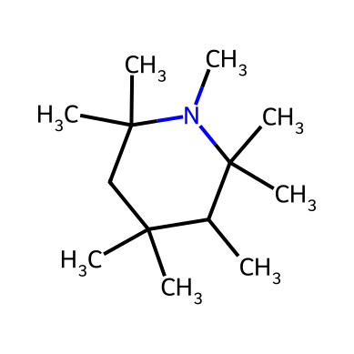 CC1C(C)(C)CC(C)(C)N(C)C1(C)C